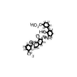 O=C1C(=NNc2cccc(-c3cccc(C(=O)O)c3)c2O)C=CC2=C1C[N+]([O-])(c1cccc(C(F)(F)F)c1)C=C2